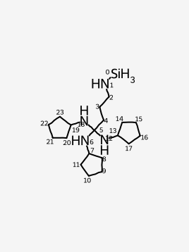 [SiH3]NCCCC(NC1CCCC1)(NC1CCCC1)NC1CCCC1